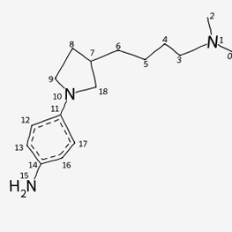 CN(C)CCCCC1CCN(c2ccc(N)cc2)C1